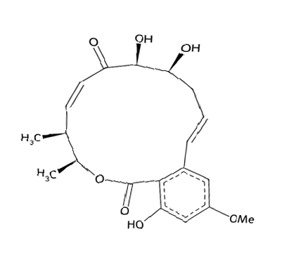 COc1cc(O)c2c(c1)/C=C/C[C@H](O)[C@H](O)C(=O)/C=C\[C@H](C)[C@H](C)OC2=O